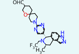 C[C@@H]1Cc2c(ccc3[nH]ncc23)[C@@H](c2cnc(N3CCC4(CCC(C=O)CO4)CC3)nc2)N1CC(F)(F)F